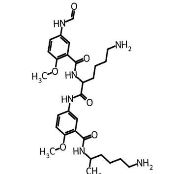 COc1ccc(NC(=O)C(CCCCN)NC(=O)c2cc(NC=O)ccc2OC)cc1C(=O)NC(C)CCCCN